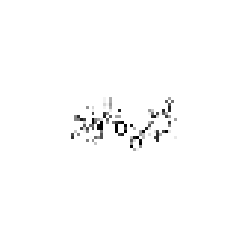 Cc1cccc(C(=O)CO[SiH2][Si](C)(C)C(C)(C)C)c1